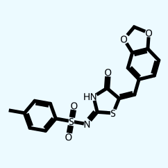 Cc1ccc(S(=O)(=O)N=C2NC(=O)C(=Cc3ccc4c(c3)OCO4)S2)cc1